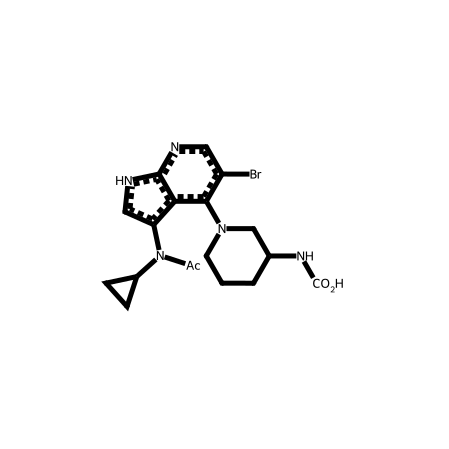 CC(=O)N(c1c[nH]c2ncc(Br)c(N3CCCC(NC(=O)O)C3)c12)C1CC1